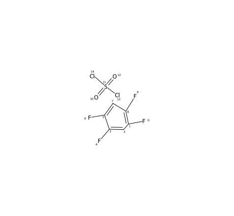 Fc1cc(F)c(F)cc1F.O=S(=O)(Cl)Cl